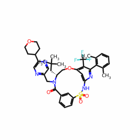 Cc1cccc(C)c1-c1nc2cc(c1C(F)(F)F)OC[C@@H](CC(C)(C)C)N(Cc1cnc(C3CCOCC3)cn1)C(=O)c1cccc(c1)S(=O)(=O)N2